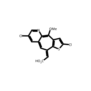 COC1=c2ncc(Cl)cc2=CC(=CC(=O)O)c2sc(Cl)cc21